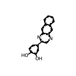 Oc1ccc(-c2cnc3cc4ccccc4cc3n2)cc1O